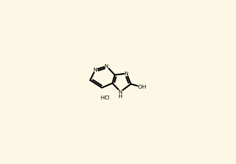 Cl.Oc1nc2nnccc2[nH]1